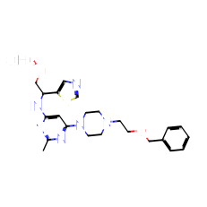 Cc1nc(NC(COC=O)c2cncs2)cc(N2CCN(CCOCc3ccccc3)CC2)n1